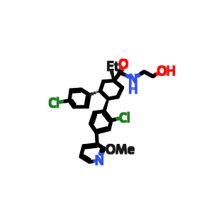 CC[C@@]1(C(=O)NCCO)CC[C@@H](c2ccc(-c3cccnc3OC)cc2Cl)[C@H](c2ccc(Cl)cc2)C1